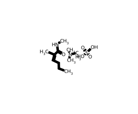 CCCC=C(C)C(=O)NC.CN(C)C.O=S(=O)(O)O